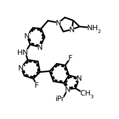 Cc1nc2c(F)cc(-c3cc(Nc4ncc(CN5CC6C(N)N6C5)cn4)ncc3F)cc2n1C(C)C